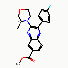 C[C@H]1COCCN1c1nc2cc(C(=O)OC(C)(C)C)ccc2nc1-c1ccc(F)cc1